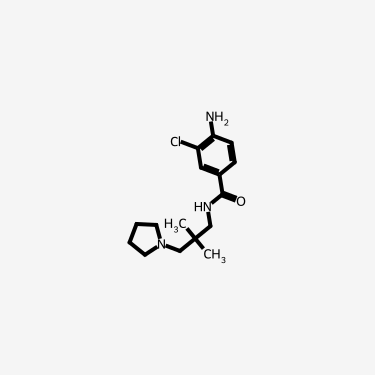 CC(C)(CNC(=O)c1ccc(N)c(Cl)c1)CN1CCCC1